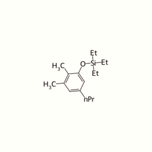 CCCc1cc(C)c(C)c(O[Si](CC)(CC)CC)c1